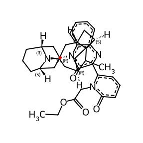 CCOC(=O)Cn1c(-c2nc3ccccc3n([C@H]3C[C@H]4CCC[C@@H](C3)N4[C@@H]3C[C@H]4C[C@H]5C[C@@H](C3)C5C4C)c2=O)cccc1=O